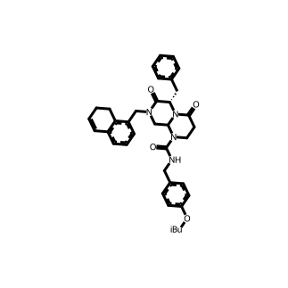 CCC(C)Oc1ccc(CNC(=O)N2CCC(=O)N3C2CN(Cc2cccc4c2CCC=C4)C(=O)[C@@H]3Cc2ccccc2)cc1